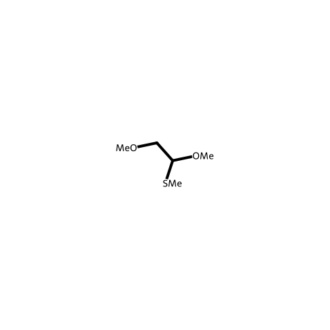 COCC(OC)SC